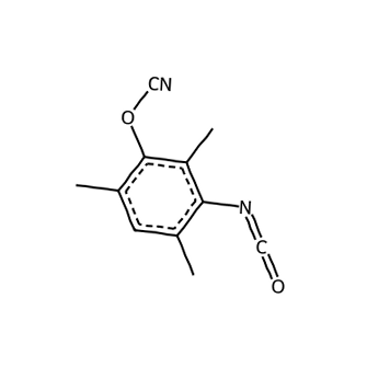 Cc1cc(C)c(OC#N)c(C)c1N=C=O